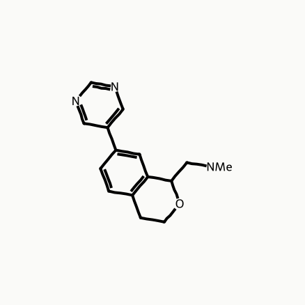 CNCC1OCCc2ccc(-c3cncnc3)cc21